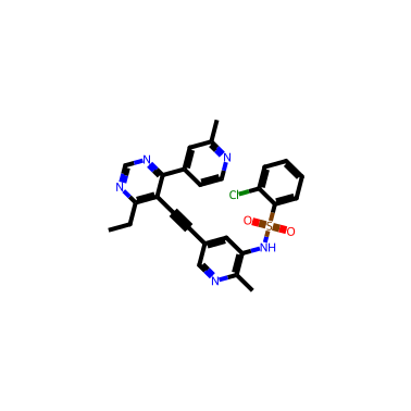 CCc1ncnc(-c2ccnc(C)c2)c1C#Cc1cnc(C)c(NS(=O)(=O)c2ccccc2Cl)c1